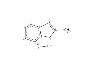 CC1=Cc2ccccc2[CH]1.[Ti][I]